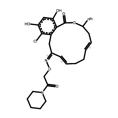 CCCC1C/C=C/CC/C=C/C(=N\OCC(=O)N2CCCCC2)Cc2c(Cl)c(O)cc(O)c2C(=O)O1